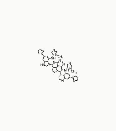 Cn1cncc1Nc1cc(-n2cccn2)cc2c1C(c1nc3ncnc4nc(N5CNc6cc(-n7cccn7)cc(Nc7cncn7C)c65)c5ccc1c5n34)CC=N2